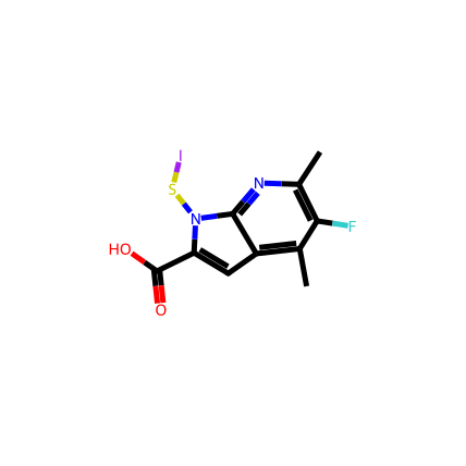 Cc1nc2c(cc(C(=O)O)n2SI)c(C)c1F